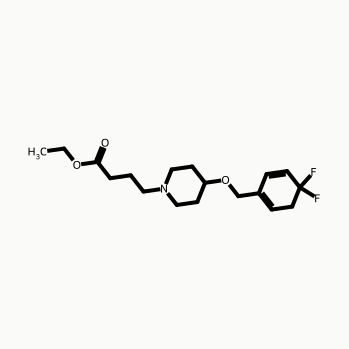 CCOC(=O)CCCN1CCC(OCC2=CCC(F)(F)C=C2)CC1